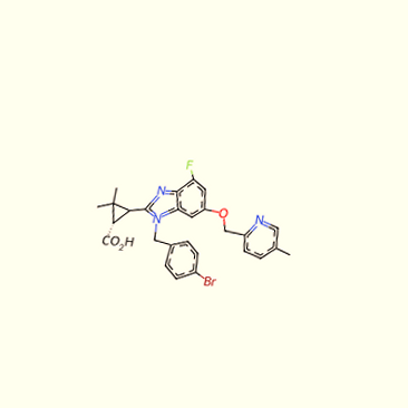 Cc1ccc(COc2cc(F)c3nc(C4[C@H](C(=O)O)C4(C)C)n(Cc4ccc(Br)cc4)c3c2)nc1